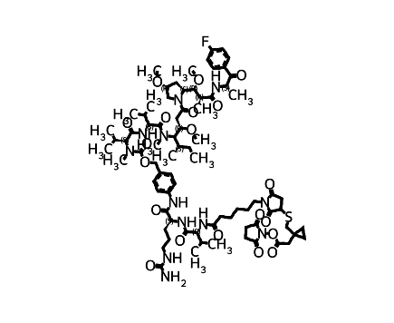 CC[C@H](C)C([C@@H](CC(=O)N1C[C@H](OC)C[C@H]1[C@H](OC)[C@@H](C)C(=O)N[C@@H](C)C(=O)c1ccc(F)cc1)OC)N(C)C(=O)[C@@H](NC(=O)[C@H](C(C)C)N(C)C(=O)OCc1ccc(NC(=O)[C@H](CCCNC(N)=O)NC(=O)[C@@H](NC(=O)CCCCCN2C(=O)CC(SCC3(CC(=O)ON4C(=O)CCC4=O)CC3)C2=O)C(C)C)cc1)C(C)C